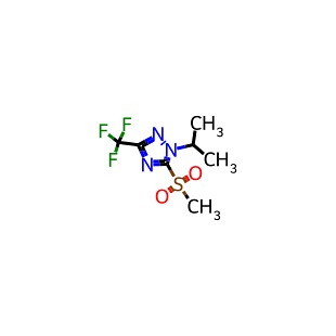 CC(C)n1nc(C(F)(F)F)nc1S(C)(=O)=O